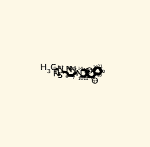 Cc1nsc(-c2ccc(N3CCC4(CC3)CC(=O)c3ccccc3O4)nn2)n1